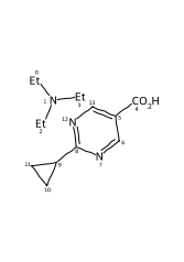 CCN(CC)CC.O=C(O)c1cnc(C2CC2)nc1